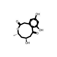 C[C@H]1C[C@H](O)CC(=O)c2c(O)cc(O)cc2CC(=O)O1